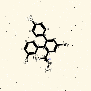 CCCc1cc(/C(N)=N/O)c(-c2cccc(Cl)c2)c(-c2ccc(O)cc2)c1